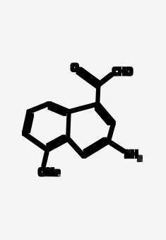 COc1cccc2c(C(=O)C=O)cc(N)cc12